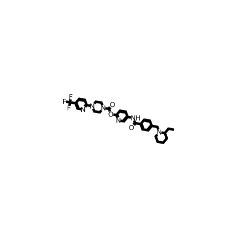 CCC1CCCCN1Cc1ccc(C(=O)Nc2ccc(OC(=O)N3CCN(c4ccc(C(F)(F)F)cn4)CC3)nc2)cc1